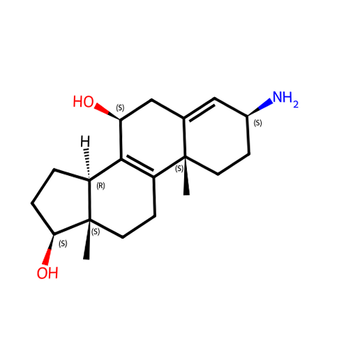 C[C@]12CC[C@H](N)C=C1C[C@H](O)C1=C2CC[C@]2(C)[C@@H](O)CC[C@@H]12